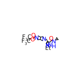 CCn1cc(CN2CC3CN(C(=O)OC(C(F)(F)F)C(F)(F)F)CC3C2)c(C(=O)NC2CC2)n1